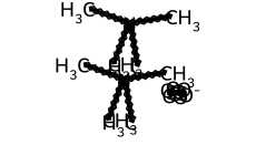 CCCCCCCCCCCC[N+](CCCCCCCCCCCC)(CCCCCCCCCCCC)CCCCCCCCCCCC.CCCCCCCCCCCC[N+](CCCCCCCCCCCC)(CCCCCCCCCCCC)CCCCCCCCCCCC.O=S(=O)([O-])OOS(=O)(=O)[O-]